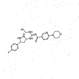 CC(C)CN/C(=N/C(=O)c1ccc(N2CCOCC2)nc1)NC1CC(c2ccc(F)cc2)NN1